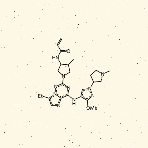 C=CC(=O)NC1CN(c2nc(Nc3cn(C4CCN(C)C4)nc3OC)c3ncc(CC)n3n2)CC1C